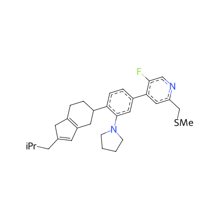 CSCc1cc(-c2ccc(C3CCC4=C(C=C(CC(C)C)C4)C3)c(N3CCCC3)c2)c(F)cn1